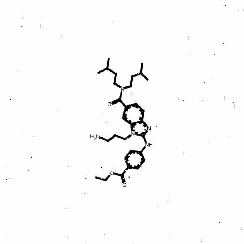 CCOC(=O)c1ccc(Nc2nc3ccc(C(=O)N(CCC(C)C)CCC(C)C)cc3n2CCCN)cc1